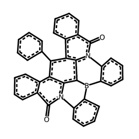 O=c1c2ccccc2c2c(-c3ccccc3)c3c4ccccc4c(=O)n4c3c3c2n1-c1ccccc1B3c1ccccc1-4